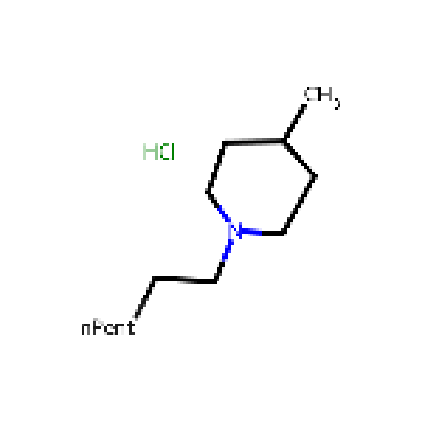 CCCCCCCN1CCC(C)CC1.Cl